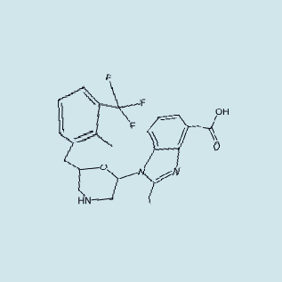 Cc1c(CC2CNCC(n3c(C)nc4c(C(=O)O)cccc43)O2)cccc1C(F)(F)F